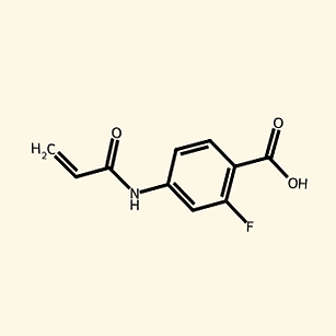 C=CC(=O)Nc1ccc(C(=O)O)c(F)c1